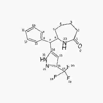 O=C1CCCCC(C(c2ccccc2)c2cc(C(F)(F)F)n[nH]2)N1